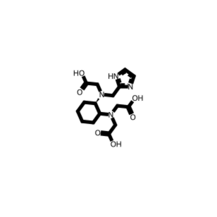 O=C(O)CN(CC(=O)O)C1CCCC[C@@H]1N(CC(=O)O)Cc1ncc[nH]1